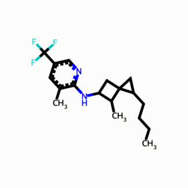 CCCCC1CC12CC(Nc1ncc(C(F)(F)F)cc1C)C2C